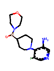 Nc1cncc(F)c1N1CCC([S+]([O-])N2CCOCC2)CC1